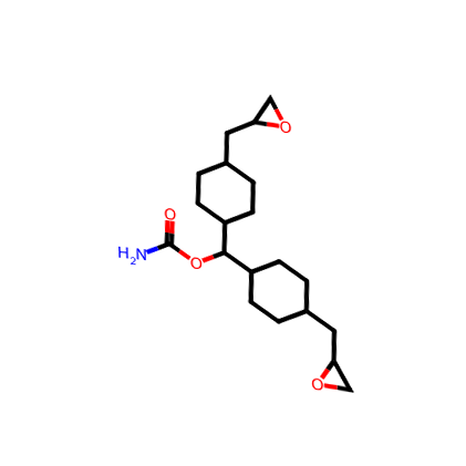 NC(=O)OC(C1CCC(CC2CO2)CC1)C1CCC(CC2CO2)CC1